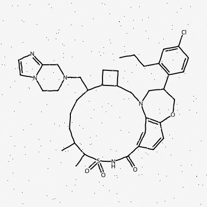 CCCc1cc(Cl)ccc1C1COc2ccc3cc2N(C1)CC1CCC1C(CN1CCn2ccnc2C1)CCCC(C)C(C)S(=O)(=O)NC3=O